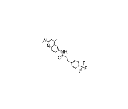 Cc1cc(N(C)C)nc2ccc(NC(=O)CCc3ccc(C(F)(F)F)cc3)cc12